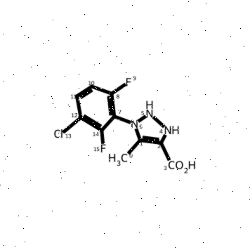 CC1=C(C(=O)O)NNN1c1c(F)ccc(Cl)c1F